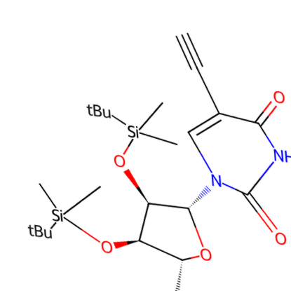 C#Cc1cn([C@@H]2O[C@H](C)[C@@H](O[Si](C)(C)C(C)(C)C)[C@H]2O[Si](C)(C)C(C)(C)C)c(=O)[nH]c1=O